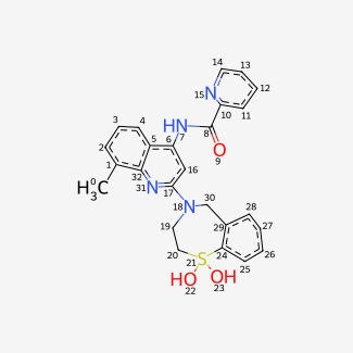 Cc1cccc2c(NC(=O)c3ccccn3)cc(N3CCS(O)(O)c4ccccc4C3)nc12